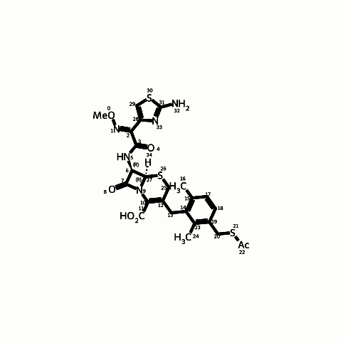 CON=C(C(=O)N[C@@H]1C(=O)N2C(C(=O)O)=C(Cc3c(C)ccc(CSC(C)=O)c3C)CS[C@H]12)c1csc(N)n1